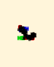 Cc1oc2ccccc2c1CN(C)C(=O)/C=C/c1cnc2c(c1)CN(C)C(=O)CN2.Cl